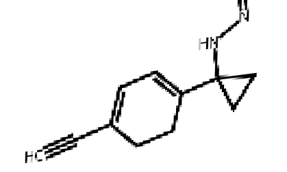 C#CC1=CC=C(C2(NN=N)CC2)CC1